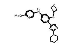 COc1ccc(Nc2ccc(-c3cnc(C4CCCCC4)s3)c(SC3COC3)c2)cn1